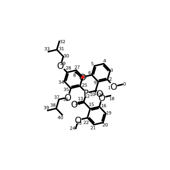 COc1cccc(OC)c1C(=O)P(C(=O)c1c(OC)cccc1OC)c1ccc(OCC(C)C)cc1OCC(C)C